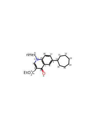 CCCCCCn1cc(C(=O)OCC)c(=O)c2cc(C3CCCCCC3)ccc21